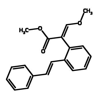 CO/C=C(/C(=O)OC)c1ccccc1/C=C/c1ccccc1